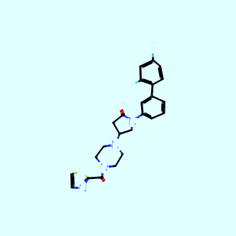 O=C(c1nccs1)N1CCN(C2CC(=O)N(c3cccc(-c4ccc(F)cc4F)c3)C2)CC1